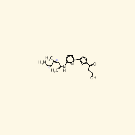 C=C(/C=C(C)\C=C/N)Nc1cccc(-c2ccc(C(=O)CCO)s2)n1